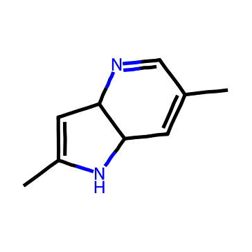 CC1=CC2NC(C)=CC2N=C1